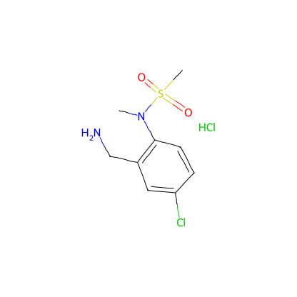 CN(c1ccc(Cl)cc1CN)S(C)(=O)=O.Cl